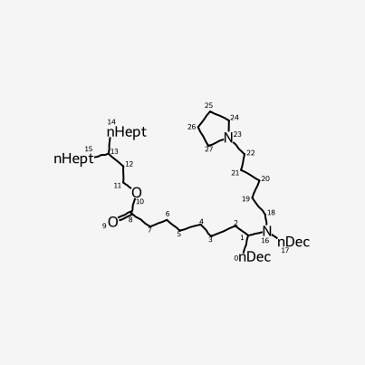 CCCCCCCCCCC(CCCCCCC(=O)OCCC(CCCCCCC)CCCCCCC)N(CCCCCCCCCC)CCCCCN1CCCC1